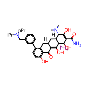 CCCN(Cc1cccc(-c2ccc(O)c3c2C[C@H]2C[C@H]4[C@H](N(C)C)C(O)=C(C(N)=O)C(O)[C@@]4(P)C(O)=C2C3=O)c1)C(C)C